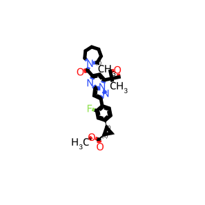 COC(=O)[C@@H]1C[C@H]1c1ccc(-c2cc3nc(C(=O)N4CCCCC[C@H]4C)cc(C4(C)COC4)n3n2)c(F)c1